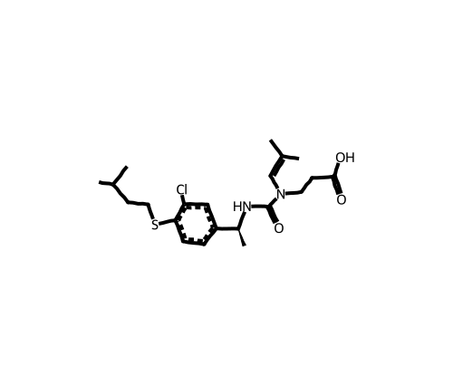 CC(C)=CN(CCC(=O)O)C(=O)N[C@@H](C)c1ccc(SCCC(C)C)c(Cl)c1